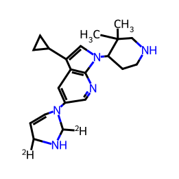 [2H]C1C=CN(c2cnc3c(c2)c(C2CC2)cn3C2CCNCC2(C)C)C([2H])N1